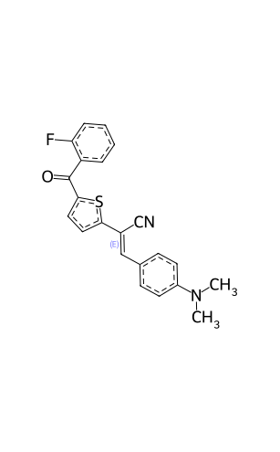 CN(C)c1ccc(/C=C(\C#N)c2ccc(C(=O)c3ccccc3F)s2)cc1